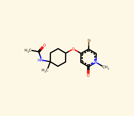 CC(=O)NC1(C)CCC(Oc2cc(=O)n(C)cc2Br)CC1